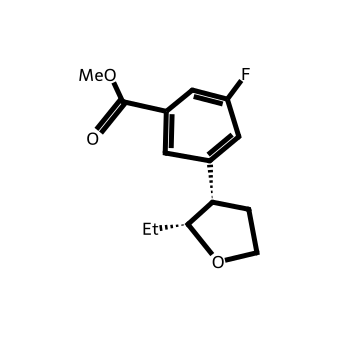 CC[C@H]1OCC[C@H]1c1cc(F)cc(C(=O)OC)c1